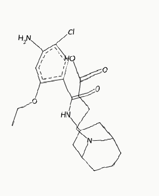 CCOc1cc(N)c(Cl)cc1C(=O)NC1CC2CCCC(C1)N2CCCC(=O)O